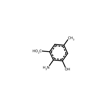 Cc1cc(O)c(N)c(C(=O)O)c1